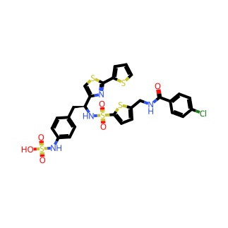 O=C(NCc1ccc(S(=O)(=O)N[C@@H](Cc2ccc(NS(=O)(=O)O)cc2)c2csc(-c3cccs3)n2)s1)c1ccc(Cl)cc1